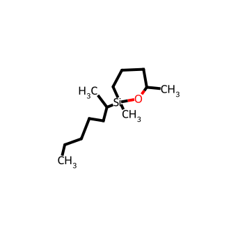 CCCCCC(C)[Si]1(C)CCCC(C)O1